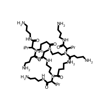 CC(C)C(C(=O)NCCCN)N(CCCNC(=O)C(C(C)C)N(CCCN(C(=O)CCCN)C(C(=O)NCCCN)C(C)C)C(=O)CCCN(C(=O)CCCN)C(C(=O)NCCCN)C(C)C)C(=O)CCCN